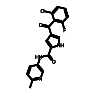 Cc1ccc(NC(=O)c2cc(C(=O)c3c(F)cccc3Cl)c[nH]2)cn1